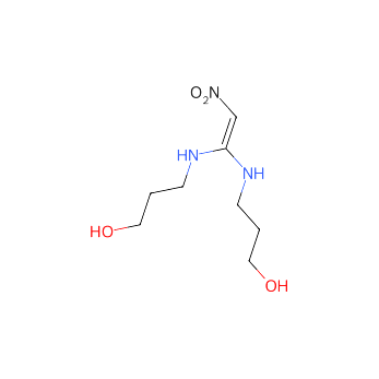 O=[N+]([O-])C=C(NCCCO)NCCCO